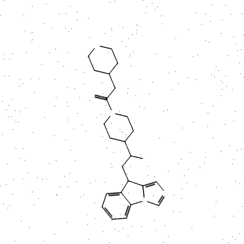 O=C(CC1CCOCC1)N1CCC(C(O)CC2c3ccccc3-n3cncc32)CC1